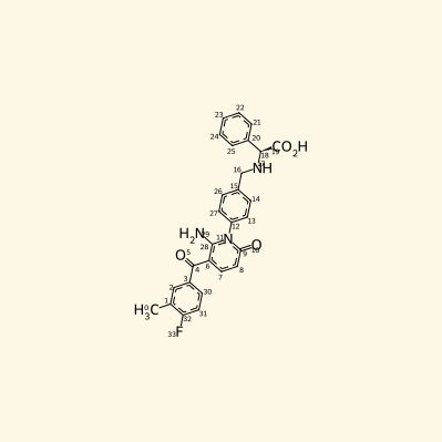 Cc1cc(C(=O)c2ccc(=O)n(-c3ccc(CN[C@H](C(=O)O)c4ccccc4)cc3)c2N)ccc1F